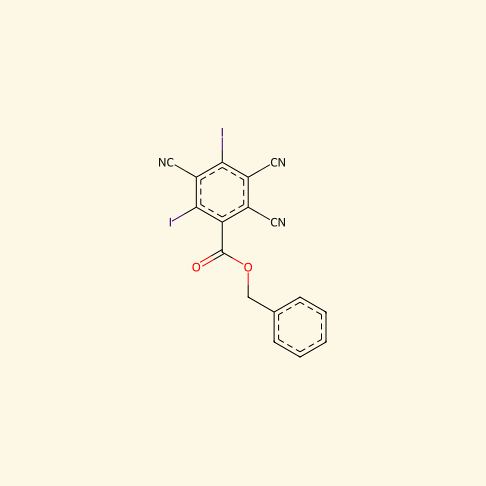 N#Cc1c(I)c(C#N)c(C#N)c(C(=O)OCc2ccccc2)c1I